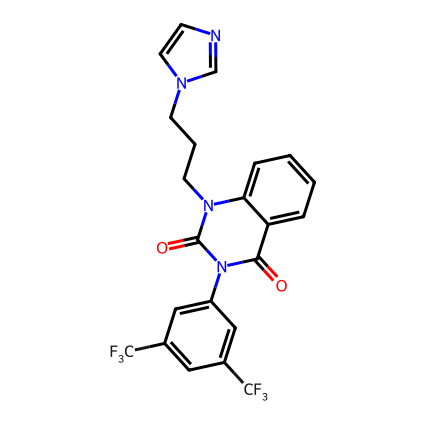 O=c1c2ccccc2n(CCCn2ccnc2)c(=O)n1-c1cc(C(F)(F)F)cc(C(F)(F)F)c1